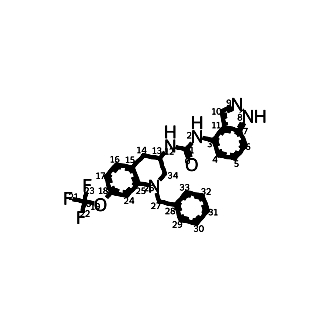 O=C(Nc1cccc2[nH]ncc12)NC1Cc2ccc(OC(F)(F)F)cc2N(Cc2ccccc2)C1